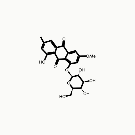 COc1cc(O[C@@H]2O[C@H](CO)[C@@H](O)[C@H](O)[C@H]2O)c2c(c1)C(=O)c1cc(C)cc(O)c1C2=O